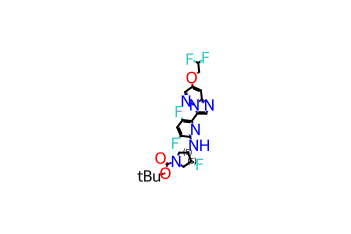 CC(C)(C)OC(=O)N1C[C@H](Nc2nc(-c3cnc4cc(OCC(F)F)cnn34)c(F)cc2F)[C@@H](F)C1